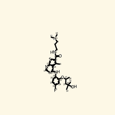 Cc1c(C(=O)NCCCN(C)C)sc2ncnc(Nc3ccc(F)cc3OC(C)CC(C)(C)O)c12